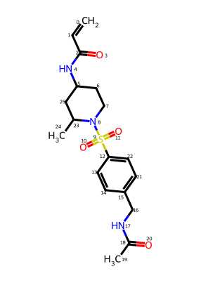 C=CC(=O)NC1CCN(S(=O)(=O)c2ccc(CNC(C)=O)cc2)C(C)C1